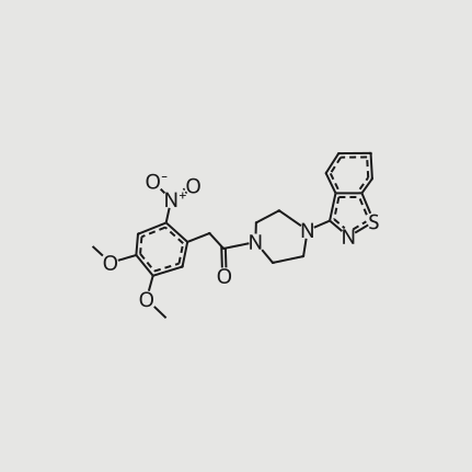 COc1cc(CC(=O)N2CCN(c3nsc4ccccc34)CC2)c([N+](=O)[O-])cc1OC